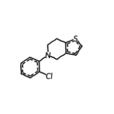 Clc1ccccc1N1CCc2sccc2C1